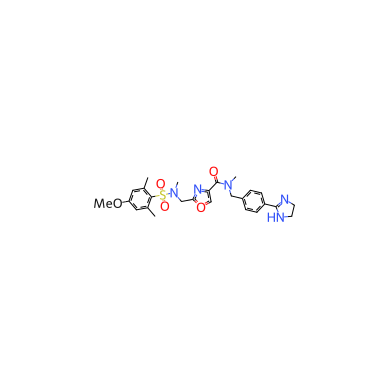 COc1cc(C)c(S(=O)(=O)N(C)Cc2nc(C(=O)N(C)Cc3ccc(C4=NCCN4)cc3)co2)c(C)c1